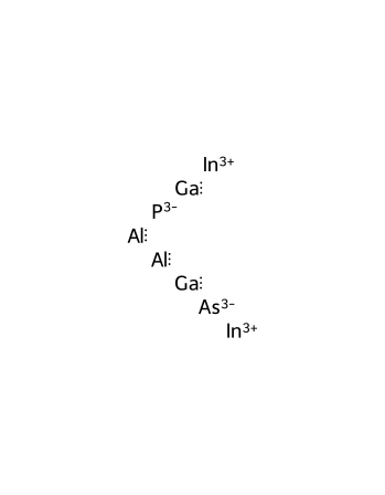 [Al].[Al].[As-3].[Ga].[Ga].[In+3].[In+3].[P-3]